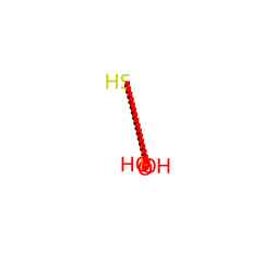 O=P(O)(O)CCCCCCCCCCCCCCCCCCCCCCCCCCCCCCCS